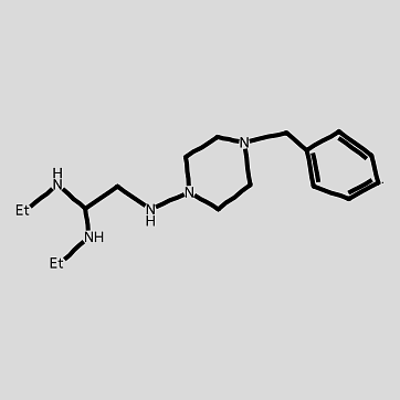 CCNC(CNN1CCN(Cc2cc[c]cc2)CC1)NCC